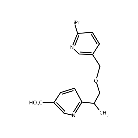 CC(C)c1ccc(COCC(C)c2ccc(C(=O)O)cn2)cn1